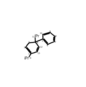 CC(C)C1=CCC(c2ccccc2)(C(C)C)C=C1